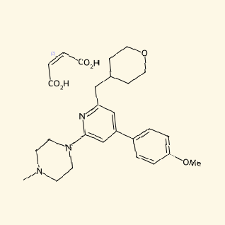 COc1ccc(-c2cc(CC3CCOCC3)nc(N3CCN(C)CC3)c2)cc1.O=C(O)/C=C\C(=O)O